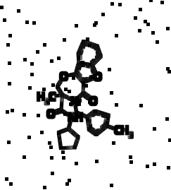 Cc1ccc(CN2C(=O)c3oc4ccccc4c3OCC2(C)C(=O)NC2CCCC2)cc1